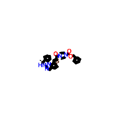 C[C@@H](Nc1ncc2ccc3sc(C(=O)N4CCN(C(=O)OCc5ccccc5)CC4)cc3c2n1)c1ccccc1